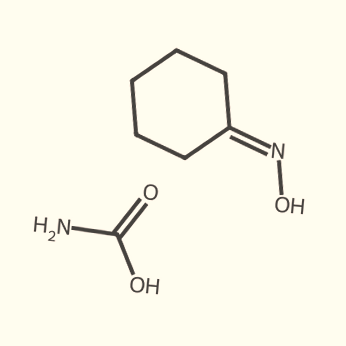 NC(=O)O.ON=C1CCCCC1